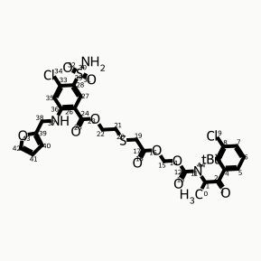 CC(C(=O)c1cccc(Cl)c1)N(C(=O)OCOC(=O)CSCCOC(=O)c1cc(S(N)(=O)=O)c(Cl)cc1NCc1ccco1)C(C)(C)C